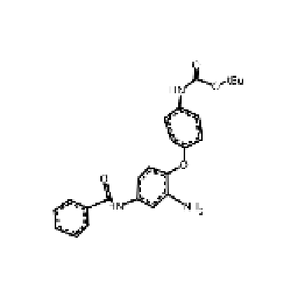 CC(C)(C)OC(=O)Nc1ccc(Oc2ccc(NC(=O)c3ccccc3)cc2N)cc1